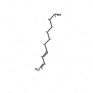 C=C/C=C/CCCCCCC[CH]CC